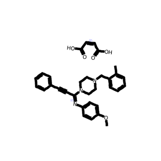 COc1ccc(/N=C(/C#Cc2ccccc2)N2CCN(Cc3ccccc3C)CC2)cc1.O=C(O)/C=C\C(=O)O